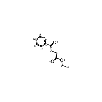 CCOC(=O)CCC(=O)c1ccccn1